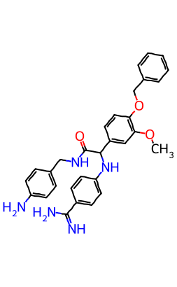 COc1cc(C(Nc2ccc(C(=N)N)cc2)C(=O)NCc2ccc(N)cc2)ccc1OCc1ccccc1